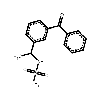 CC(NS(C)(=O)=O)c1cccc(C(=O)c2ccccc2)c1